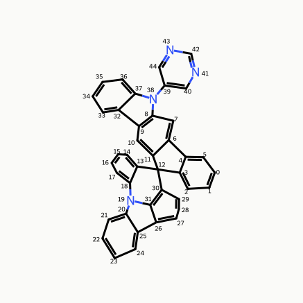 c1ccc2c(c1)-c1cc3c(cc1C21c2ccccc2-n2c4ccccc4c4cccc1c42)c1ccccc1n3-c1cncnc1